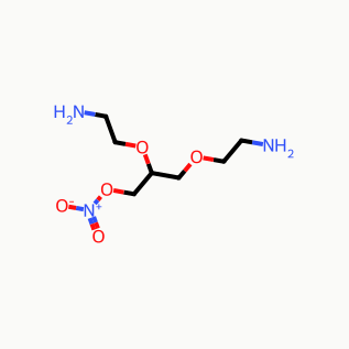 NCCOCC(CO[N+](=O)[O-])OCCN